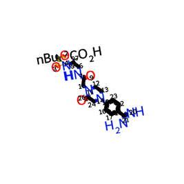 CCCCS(=O)(=O)N[C@@H](CNC(=O)CN1CCN(c2ccc(C(=N)N)cc2)CC1=O)C(=O)O